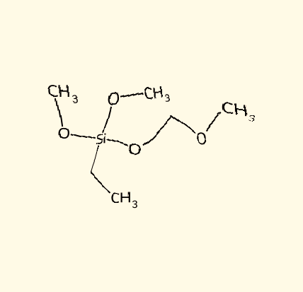 CC[Si](OC)(OC)OCOC